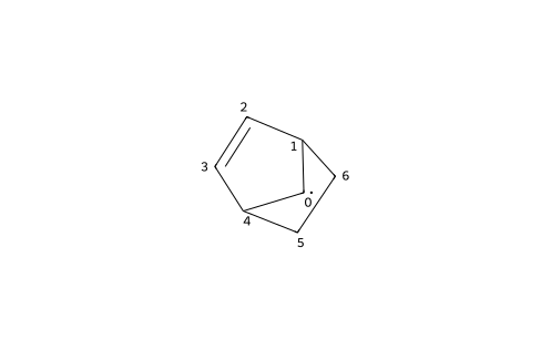 [CH]1C2C=CC1CC2